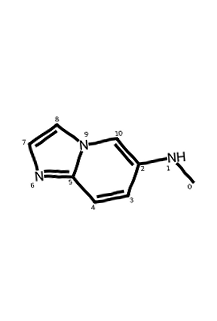 CNc1ccc2nccn2c1